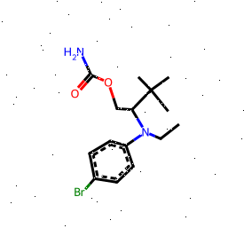 CCN(c1ccc(Br)cc1)C(COC(N)=O)C(C)(C)C